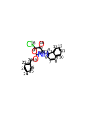 O=C(N[C@@H](Cc1cccc2ccccc12)C(=O)CCl)OCc1ccccc1